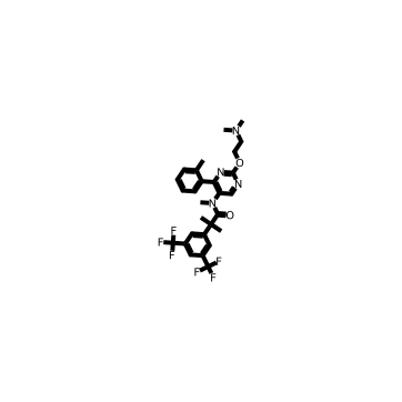 Cc1ccccc1-c1nc(OCCN(C)C)ncc1N(C)C(=O)C(C)(C)c1cc(C(F)(F)F)cc(C(F)(F)F)c1